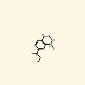 CCC(C)c1ccc2c(c1)N(C)CCC2